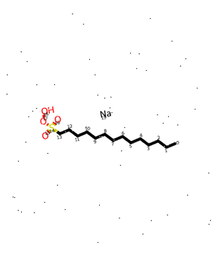 CCCCCCCCCCCCCCS(=O)(=O)OO.[Na]